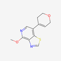 COc1ncc(C2=CCOCC2)c2scnc12